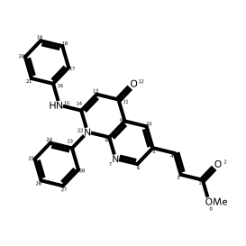 COC(=O)/C=C/c1cnc2c(c1)c(=O)cc(Nc1ccccc1)n2-c1ccccc1